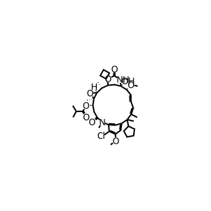 COc1cc2cc(c1Cl)N(C)C(=O)C[C@H](OC(=O)C(C)C)[C@@]1(C)O[C@H]1[C@H](C)[C@]1(C3CCC3)C[C@@](O)(NC(=O)O1)[C@H](OC)/C=C/C=C(/C)C2(C)C1CCCC1